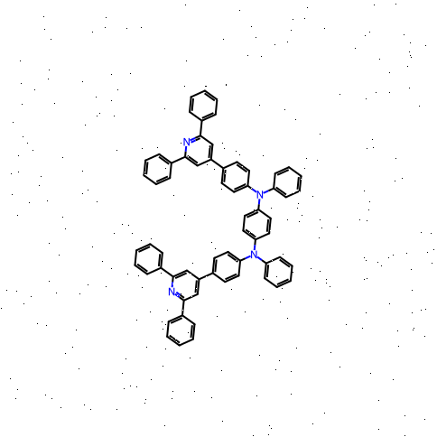 c1ccc(-c2cc(-c3ccc(N(c4ccccc4)c4ccc(N(c5ccccc5)c5ccc(-c6cc(-c7ccccc7)nc(-c7ccccc7)c6)cc5)cc4)cc3)cc(-c3ccccc3)n2)cc1